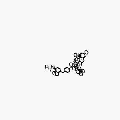 COP(=O)(OC)OCC(=O)[C@@]12O[C@H](c3ccc(Cc4ccc(N)c5c4CCO5)cc3)O[C@@H]1C[C@H]1[C@@H]3CCC4=CC(=O)C=C[C@]4(C)[C@H]3[C@@H](O)C[C@@]12C